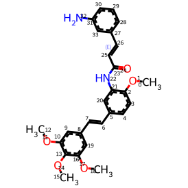 COc1ccc(C=Cc2cc(OC)c(OC)c(OC)c2)cc1NC(=O)/C=C/c1cccc(N)c1